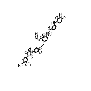 CCc1cc(N2C(=S)N(c3cnc(C#N)c(C(F)(F)F)c3)C(=O)C23CCC3)ccc1OCC[C@H]1CCN(CC(=O)Nc2cccc(NC3CCC(=O)NC3=O)c2)C(C)(C)C1.Cl